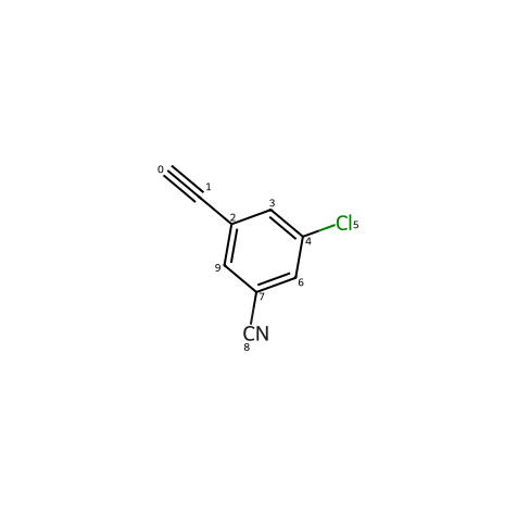 C#Cc1cc(Cl)cc(C#N)c1